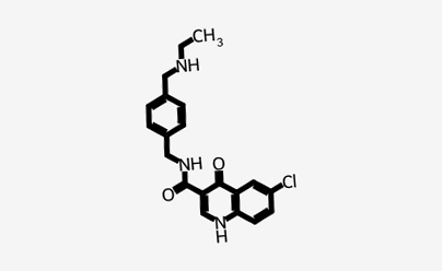 CCNCc1ccc(CNC(=O)c2c[nH]c3ccc(Cl)cc3c2=O)cc1